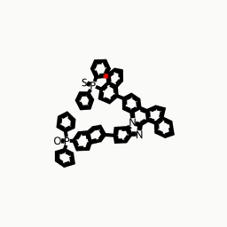 O=P(c1ccccc1)(c1ccccc1)c1ccc2cc(-c3ccc4nc5c6c7ccccc7ccc6c6ccc(-c7ccc(P(=S)(c8ccccc8)c8ccccc8)c8ccccc78)cc6n5c4c3)ccc2c1